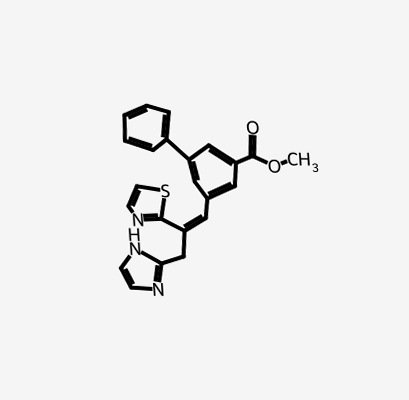 COC(=O)c1cc(C=C(Cc2ncc[nH]2)c2nccs2)cc(-c2ccccc2)c1